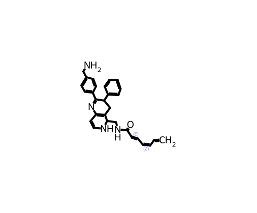 C=C/C=C\C=C\C(=O)NCC1NC=CC2=C1CC(c1ccccc1)C(c1ccc(CN)cc1)=N2